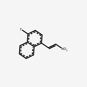 O=[N+]([O-])C=Cc1ccc(F)c2ccccc12